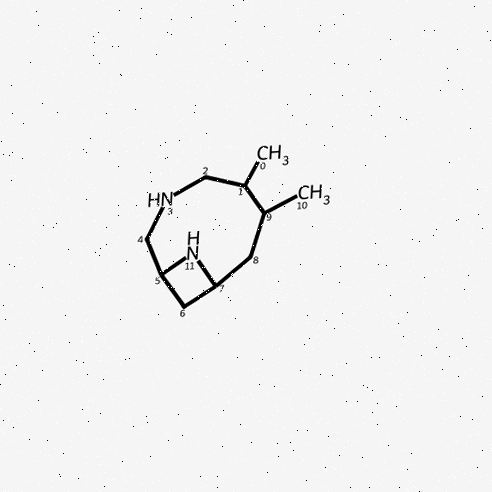 CC1CNCC2CC(CC1C)N2